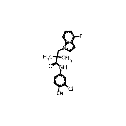 CC(C)(Cn1ccc2c(F)cccc21)C(=O)Nc1ccc(C#N)c(Cl)c1